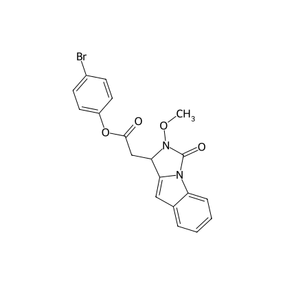 CON1C(=O)n2c(cc3ccccc32)C1CC(=O)Oc1ccc(Br)cc1